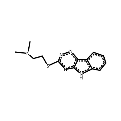 CN(C)CCSc1nnc2c(n1)[nH]c1ccccc12